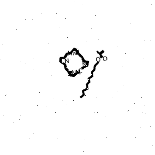 C1=Cc2cc3ccc(cc4nc(cc5ccc(cc1n2)[nH]5)C=C4)[nH]3.C=C(C)C(=O)OCCCCCCCCCCCC